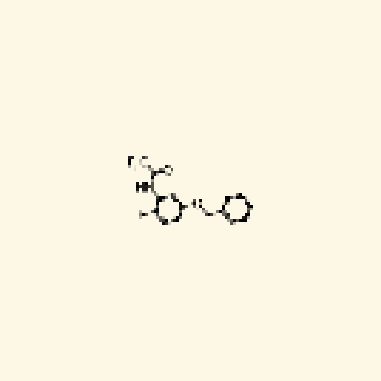 O=C(Nc1cc(OCc2ccccc2)ccc1I)C(F)(F)F